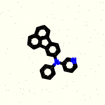 c1ccc(N(c2cccnc2)c2ccc3c(c2)-c2cccc4cccc-3c24)cc1